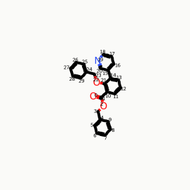 O=C(OCc1ccccc1)c1cccc(-c2cccnc2)c1OCc1ccccc1